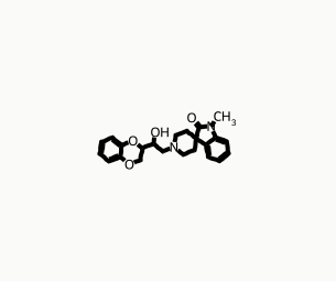 CN1C(=O)C2(CCN(CC(O)C3COc4ccccc4O3)CC2)c2ccccc21